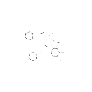 COc1cc(C[C@@]2(C(N)=O)CCCN2N(C(=O)OCc2ccccc2)[C@H](Cc2ccccc2)C(=O)O)ccc1O